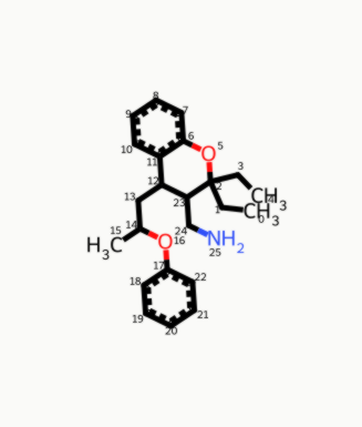 CCC1(CC)Oc2ccccc2C(CC(C)Oc2ccccc2)C1CN